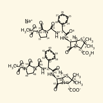 CC1(C)S[C@@H]2[C@H](NC(=O)[C@H](NC(=O)N3CCN(S(C)(=O)=O)C3=O)c3ccccc3)C(=O)N2[C@H]1C(=O)O.CC1(C)S[C@@H]2[C@H](NC(=O)[C@H](NC(=O)N3CCN(S(C)(=O)=O)C3=O)c3ccccc3)C(=O)N2[C@H]1C(=O)[O-].[Na+]